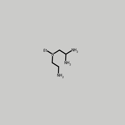 CCN(CCN)CC(N)N